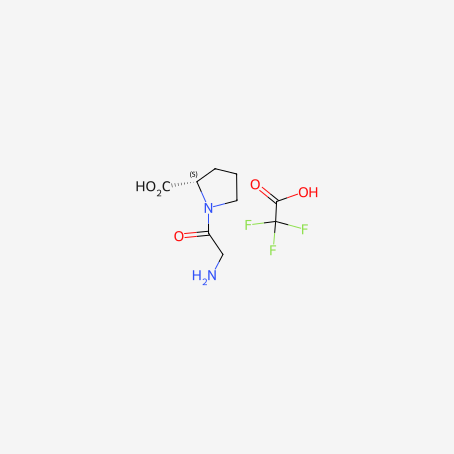 NCC(=O)N1CCC[C@H]1C(=O)O.O=C(O)C(F)(F)F